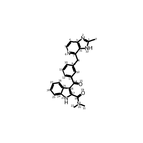 Cc1nc2ccnc(Cc3cccc(C(=O)c4c(C(=O)N(C)C)[nH]c5ccccc45)c3)c2[nH]1